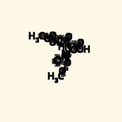 CCOCCOc1cc(C(=O)N[C@@H](CCC(=O)O)C(=O)N2CCN(OC(=O)OCC)CC2)nn1-c1ccccc1